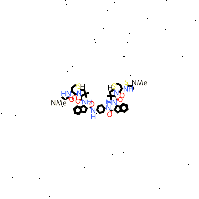 CN[C@@H](C)C(=O)N[C@H]1CCS[C@H]2CC(C)(C)[C@@H](C(=O)N[C@H]3c4ccccc4C[C@H]3C(=O)N[C@H]3CC[C@H](NC(=O)[C@@H]4Cc5ccccc5[C@@H]4NC(=O)[C@H]4N5C(=O)[C@@H](NC(=S)[C@H](C)NC)CCS[C@H]5CC4(C)C)CC3)N2C1=O